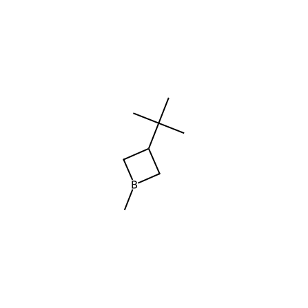 CB1CC(C(C)(C)C)C1